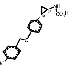 N#Cc1ccc(COc2ccc([C@@H]3C[C@H]3NC(=O)O)cc2)cc1